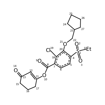 CCS(=O)(=O)c1ccc(C(=O)OC2=CC(=O)CCC2)c(Cl)c1OCC1CCCC1